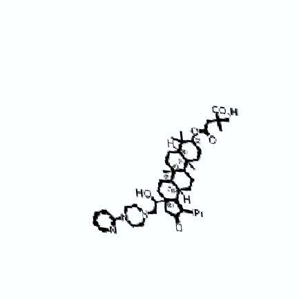 CC(C)C1=C2[C@H]3CCC4[C@@]5(C)CC[C@H](OC(=O)CC(C)(C)C(=O)O)C(C)(C)[C@@H]5CC[C@@]4(C)[C@]3(C)CC[C@@]2(C(O)CN2CCN(c3ccccn3)CC2)CC1=O